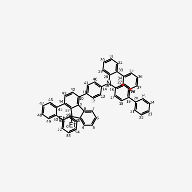 CCC1(CC)c2ccccc2-c2c(-c3ccc(N(c4ccc(-c5ccccc5)cc4)c4ccccc4-c4ccccc4)cc3)ccc(-c3ccccc3-c3ccccc3)c21